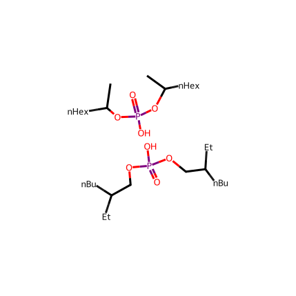 CCCCC(CC)COP(=O)(O)OCC(CC)CCCC.CCCCCCC(C)OP(=O)(O)OC(C)CCCCCC